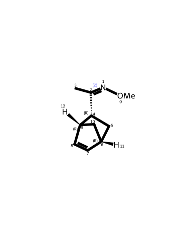 CO/N=C(/C)[C@@H]1C[C@@H]2C=C[C@H]1C2